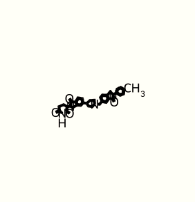 Cc1ccc(N2Cc3ccc(CN4CCC(c5ccc6c(c5)CN(C5CCC(=O)NC5=O)C6=O)CC4)cc3C2=O)cc1